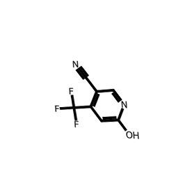 N#Cc1cnc(O)cc1C(F)(F)F